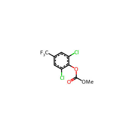 COC(=O)Oc1c(Cl)cc(C(F)(F)F)cc1Cl